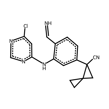 N#CC1(c2ccc(C=N)c(Nc3cc(Cl)ncn3)c2)CC12CC2